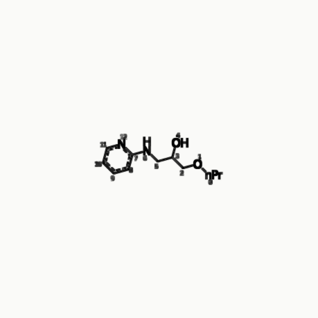 CCCOCC(O)CNc1ccccn1